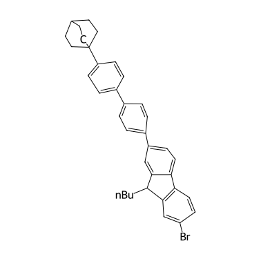 CCCCC1c2cc(Br)ccc2-c2ccc(-c3ccc(-c4ccc(C56CCC(CC5)CC6)cc4)cc3)cc21